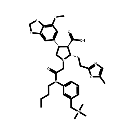 CCCCN(C(=O)CN1C[C@H](c2cc(OC)c3c(c2)OCO3)[C@@H](C(=O)O)[C@@H]1CCc1ncc(C)o1)c1cccc(C[N+](C)(C)C)c1